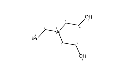 CC(C)[CH2][Al]([CH2]CO)[CH2]CO